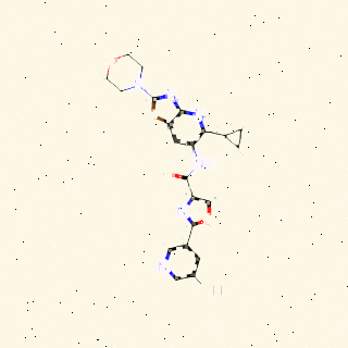 Cc1cncc(-c2nc(C(=O)Nc3cc4sc(N5CCOCC5)nc4nc3C3CC3)co2)c1